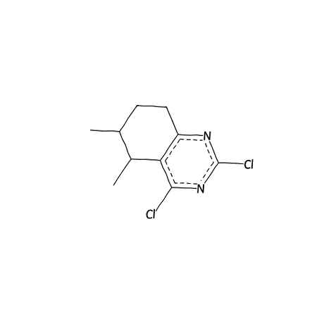 CC1CCc2nc(Cl)nc(Cl)c2C1C